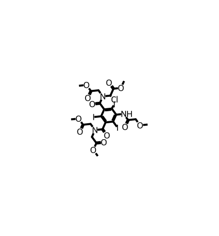 COCC(=O)Nc1c(I)c(C(=O)N(CC(=O)OC)CC(=O)OC)c(I)c(C(=O)N(CC(=O)OC)C(Cl)C(=O)OC)c1I